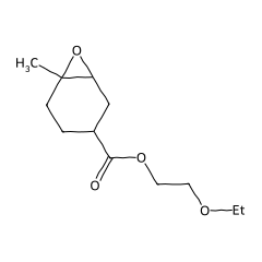 CCOCCOC(=O)C1CCC2(C)OC2C1